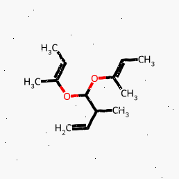 C=CC(C)C(OC(C)=CC)OC(C)=CC